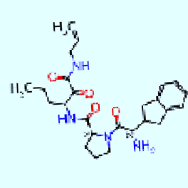 C=CCNC(=O)C(=O)C(CCC)NC(=O)[C@@H]1CCCN1C(=O)[C@@H](N)C1Cc2ccccc2C1